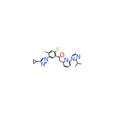 Cc1cc(F)c(C(=O)Cc2cccc(-n3ccnc3C(C)C)n2)cc1-n1cnc(C2CC2)c1